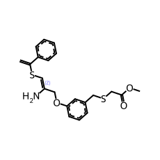 C=C(S/C=C(\N)COc1cccc(CSCC(=O)OC)c1)c1ccccc1